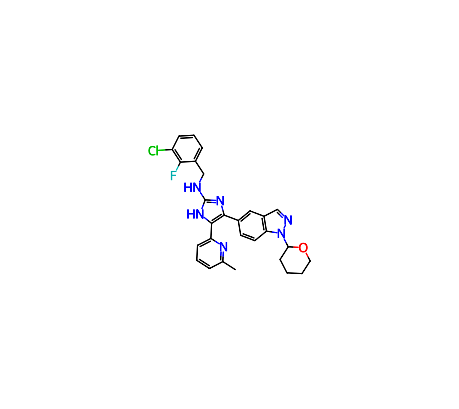 Cc1cccc(-c2[nH]c(NCc3cccc(Cl)c3F)nc2-c2ccc3c(cnn3C3CCCCO3)c2)n1